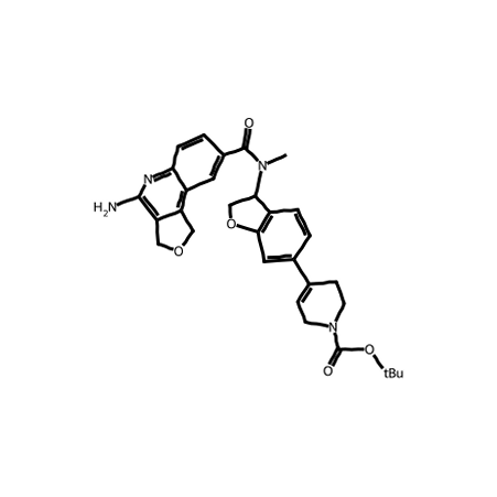 CN(C(=O)c1ccc2nc(N)c3c(c2c1)COC3)C1COc2cc(C3=CCN(C(=O)OC(C)(C)C)CC3)ccc21